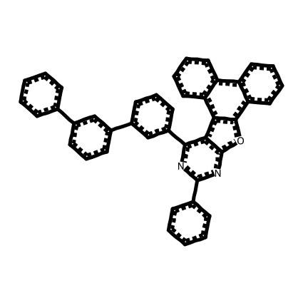 c1ccc(-c2cccc(-c3cccc(-c4nc(-c5ccccc5)nc5oc6c7ccccc7c7ccccc7c6c45)c3)c2)cc1